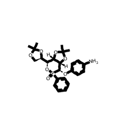 CC1(C)O[C@H]2[C@@H]([C@H]3COC(C)(C)O3)OP(=O)(c3ccccc3)[C@@H](Oc3ccc(N)cc3)[C@H]2O1